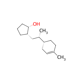 CC1=CC[C@H]([C@@H](C)C[C@@H]2CCC[C@@H]2O)CC1